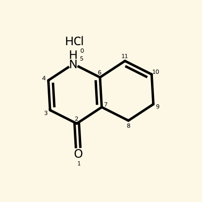 Cl.O=c1cc[nH]c2c1CCC=C2